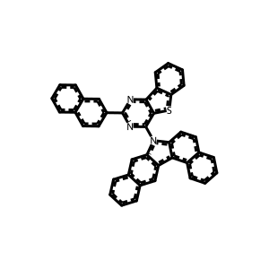 c1ccc2cc(-c3nc(-n4c5cc6ccccc6cc5c5c6ccccc6ccc54)c4sc5ccccc5c4n3)ccc2c1